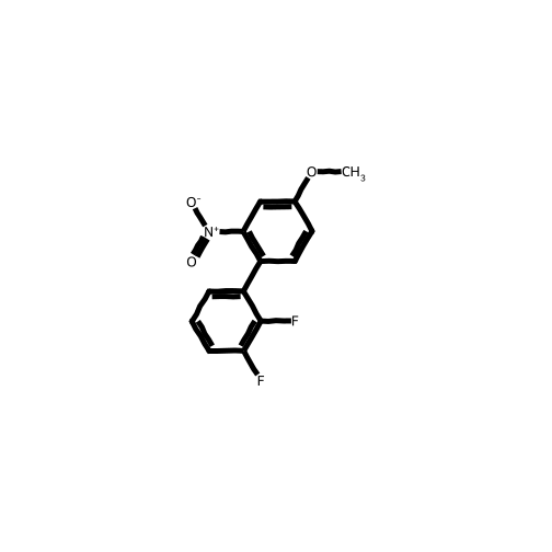 COc1ccc(-c2cccc(F)c2F)c([N+](=O)[O-])c1